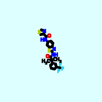 CC(C)(C(=O)Nc1nc2ccc(NC(=O)c3cscn3)cc2s1)c1cccc(C(F)(F)F)c1